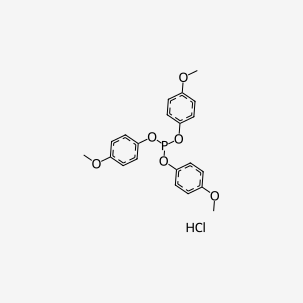 COc1ccc(OP(Oc2ccc(OC)cc2)Oc2ccc(OC)cc2)cc1.Cl